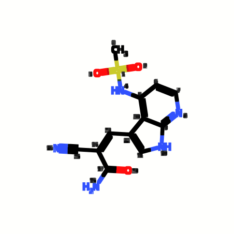 CS(=O)(=O)Nc1ccnc2[nH]cc(C=C(C#N)C(N)=O)c12